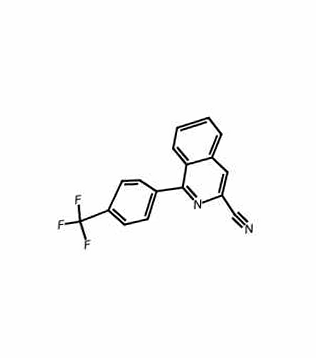 N#Cc1cc2ccccc2c(-c2ccc(C(F)(F)F)cc2)n1